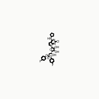 O=P(CC(O)[C@@H]1O[C@@H](n2ccc3c(NC4CCCC4)nc(Cl)nc32)[C@H](O)[C@@H]1O)(Oc1ccc(F)cc1)Oc1ccc(F)cc1